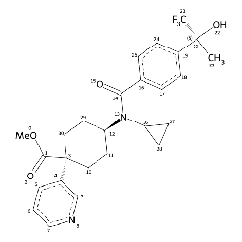 COC(=O)[C@]1(c2cccnc2)CC[C@H](N(C(=O)c2ccc([C@](C)(O)C(F)(F)F)cc2)C2CC2)CC1